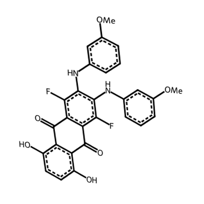 COc1cccc(Nc2c(F)c3c(c(F)c2Nc2cccc(OC)c2)C(=O)c2c(O)ccc(O)c2C3=O)c1